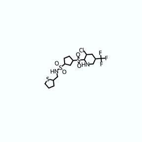 O=S(=O)(NCC1CCCS1)C1CCC(S(=O)(=O)C2NCC(C(F)(F)F)CC2Cl)C1